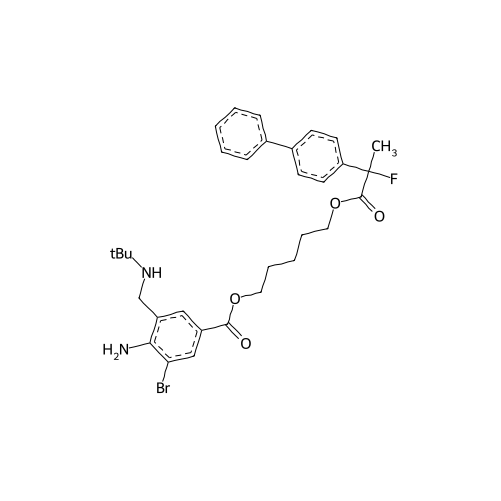 CC(C)(C)NCc1cc(C(=O)OCCCCCOC(=O)C(C)(F)c2ccc(-c3ccccc3)cc2)cc(Br)c1N